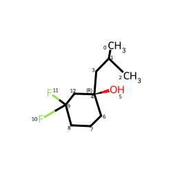 CC(C)C[C@]1(O)CCCC(F)(F)C1